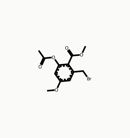 COC(=O)c1c(CBr)cc(OC)cc1OC(C)=O